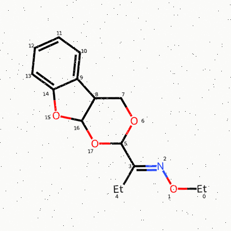 CCON=C(CC)C1OCC2c3ccccc3OC2O1